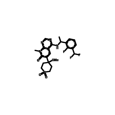 COC1(c2cc3c(NC(C)c4cccc(C(F)F)c4F)ncnc3n(C)c2=O)CCS(=O)(=O)CC1